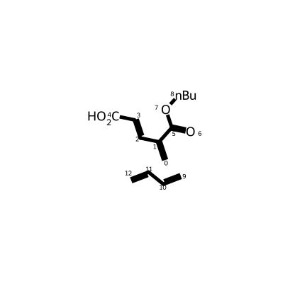 C=C(C=CC(=O)O)C(=O)OCCCC.C=CC=C